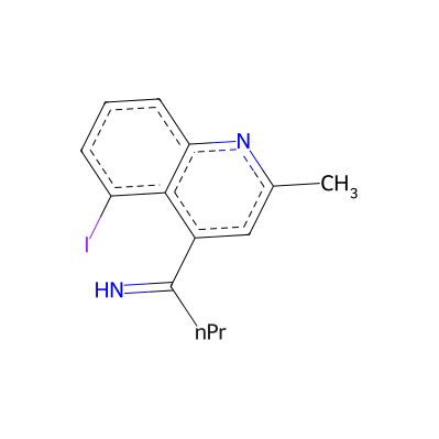 CCCC(=N)c1cc(C)nc2cccc(I)c12